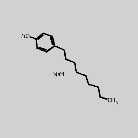 CCCCCCCCCc1ccc(O)cc1.[NaH]